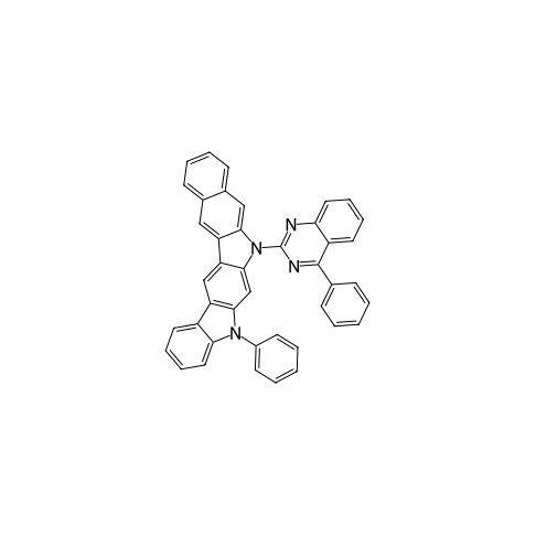 c1ccc(-c2nc(-n3c4cc5ccccc5cc4c4cc5c6ccccc6n(-c6ccccc6)c5cc43)nc3ccccc23)cc1